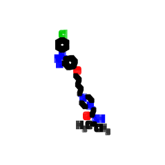 CC(C)NC(=O)CN1CCN(CCCCCOc2ccc3c(c2)nnn3-c2ccc(Cl)cc2)CC1